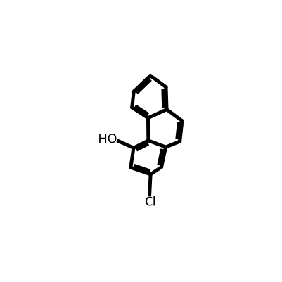 Oc1cc(Cl)cc2ccc3ccccc3c12